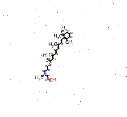 CC1=C(/C=C/C(C)=C/C=C/C(C)=C/C(=S)SCCCN(C)CCO)C(C)(C)CCC1